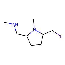 CNCC1CCC(CI)N1C